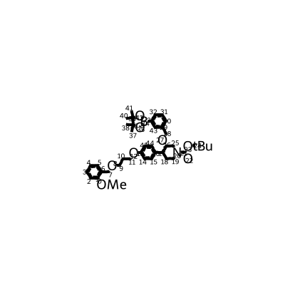 COc1ccccc1COCCCOc1ccc(C2CCN(C(=O)OC(C)(C)C)CC2OCc2cccc(B3OC(C)(C)C(C)(C)O3)c2)cc1